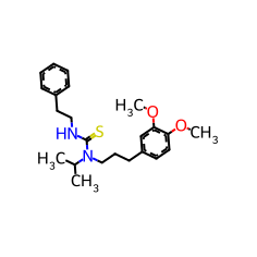 COc1ccc(CCCN(C(=S)NCCc2ccccc2)C(C)C)cc1OC